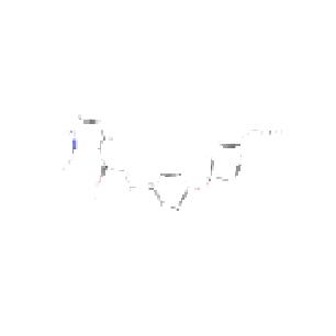 CCCCOc1ccc(Oc2ccc(CNC(=O)c3cccnc3N)cc2)cc1